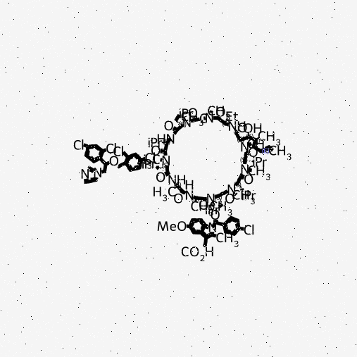 C/C=C/C[C@@H](C)[C@@H](O)[C@H]1C(=O)N[C@@H](CC)C(=O)N(C)CC(=O)N(C)[C@@H](CC(C)C)C(=O)N[C@@H](C(C)C)C(=O)N(C)[C@@H](CC(C)C)C(=O)N[C@@H](C)C(=O)N[C@H](C)C(=O)N(C)[C@@H](CC(C)C)C(=O)N(C)[C@@H](CC(C)C)C(=O)N(C)[C@@H](C(C)C)C(=O)N1C.COc1ccc2c(c1)c(CC(=O)O)c(C)n2C(=O)c1ccc(Cl)cc1.Clc1ccc(COC(Cn2ccnc2)c2ccc(Cl)cc2Cl)c(Cl)c1